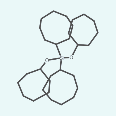 C1CCCC([Si](OC2CCCCCC2)(OC2CCCCCC2)C2CCCCCCC2)CCC1